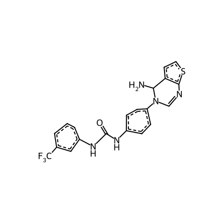 NC1c2ccsc2N=CN1c1ccc(NC(=O)Nc2cccc(C(F)(F)F)c2)cc1